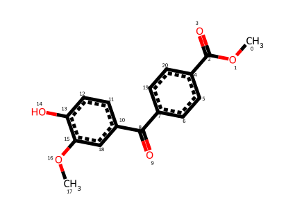 COC(=O)c1ccc(C(=O)c2ccc(O)c(OC)c2)cc1